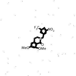 COc1cc2c(c(OC)c1)C(=O)N(Cc1cc([N+](=O)[O-])cc(C(F)(F)F)c1)CC2